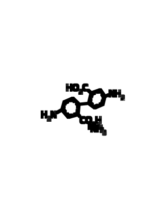 N.N.Nc1ccc(-c2ccc(N)cc2C(=O)O)c(C(=O)O)c1